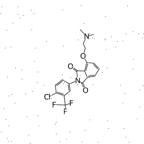 CN(C)CCOc1cccc2c1C(=O)N(c1ccc(Cl)c(C(F)(F)F)c1)C2=O